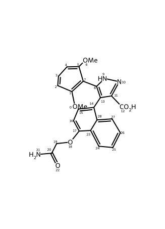 COc1cccc(OC)c1-c1[nH]nc(C(=O)O)c1-c1ccc(OCC(N)=O)c2ccccc12